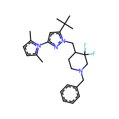 Cc1ccc(C)n1-c1cc(C(C)(C)C)n(CC2CCN(Cc3ccccc3)CC2(F)F)n1